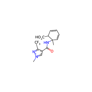 Cn1cc(C(=O)NC2(C)C=CC=CC2C(=O)O)c(C(F)(F)F)n1